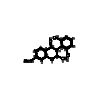 CSc1ncc2c(n1)OC(C)N(c1c(Cl)cccc1Cl)C2=O